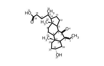 CC=C1C(=O)C2C(CC[C@@]3(C)C2CCC3[C@H](C)CCC(=O)O)[C@@]2(C)CC[C@@H](O)CC12